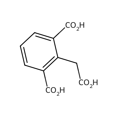 O=C(O)Cc1c(C(=O)O)cccc1C(=O)O